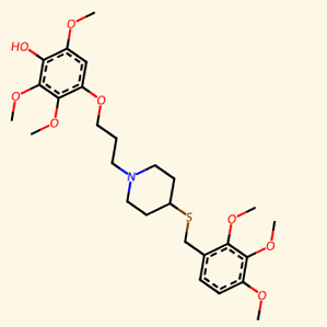 COc1cc(OCCCN2CCC(SCc3ccc(OC)c(OC)c3OC)CC2)c(OC)c(OC)c1O